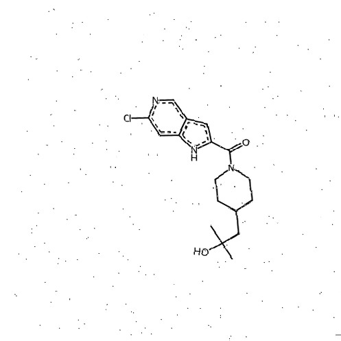 CC(C)(O)CC1CCN(C(=O)c2cc3cnc(Cl)cc3[nH]2)CC1